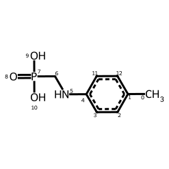 Cc1ccc(NCP(=O)(O)O)cc1